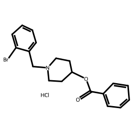 Cl.O=C(OC1CCN(Cc2ccccc2Br)CC1)c1ccccc1